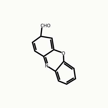 O=CC1C=CC2=Nc3ccccc3OC2=C1